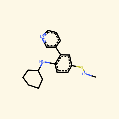 CNSc1ccc(NC2CCCCC2)c(-c2cccnc2)c1